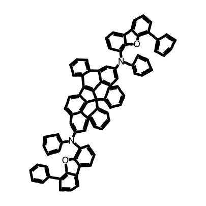 c1ccc(-c2cccc3c2oc2c(N(c4ccccc4)c4ccc5c6c(ccc5c4)-c4c(c5ccc(N(c7ccccc7)c7cccc8c7oc7c(-c9ccccc9)cccc78)cc5c5ccccc45)C6(c4ccccc4)c4ccccc4)cccc23)cc1